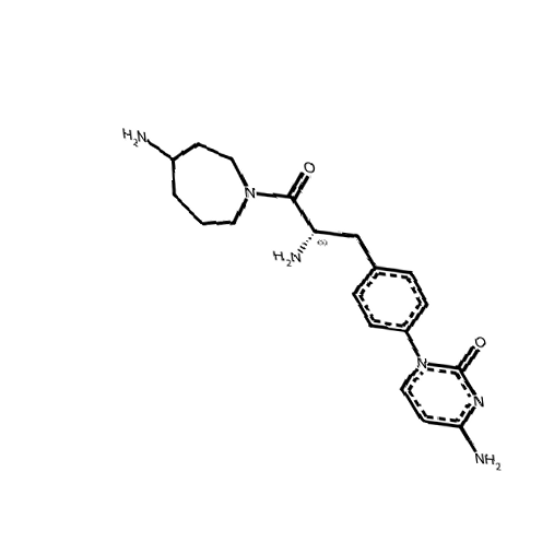 Nc1ccn(-c2ccc(C[C@H](N)C(=O)N3CCCC(N)CC3)cc2)c(=O)n1